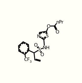 C=CC(c1ccccc1C(F)(F)F)S(=O)(=O)Nc1ncc(OC(=O)CCC)s1